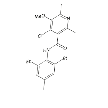 CCc1cc(C)cc(CC)c1NC(=O)c1c(C)nc(C)c(OC)c1Cl